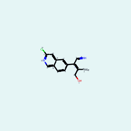 CN/C(CO)=C(\C=N)c1ccc2cnc(Cl)cc2c1